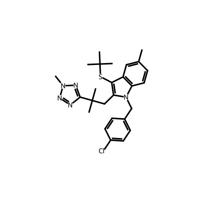 Cc1ccc2c(c1)c(SC(C)(C)C)c(CC(C)(C)c1nnn(C)n1)n2Cc1ccc(Cl)cc1